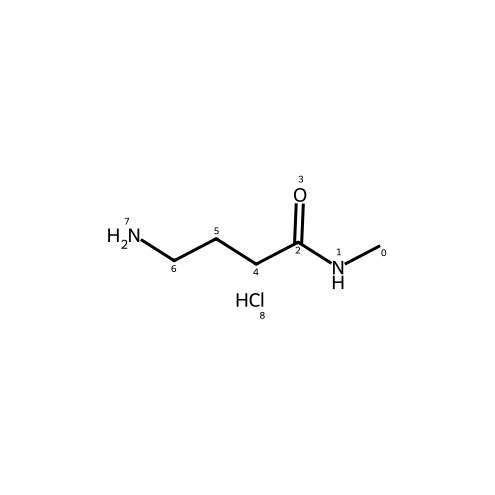 CNC(=O)CCCN.Cl